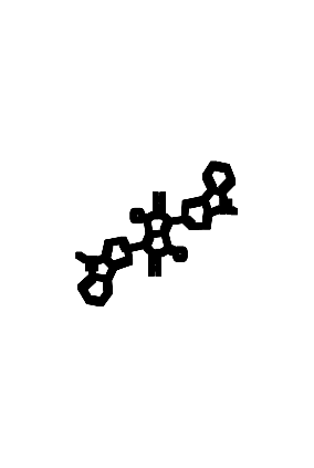 Cn1c2ccccc2c2cc(C3=C4C(=O)NC(c5ccc6c(c5)c5ccccc5n6C)=C4C(=O)N3)ccc21